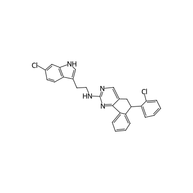 Clc1ccc2c(CCNc3ncc4c(n3)-c3ccccc3C(c3ccccc3Cl)C4)c[nH]c2c1